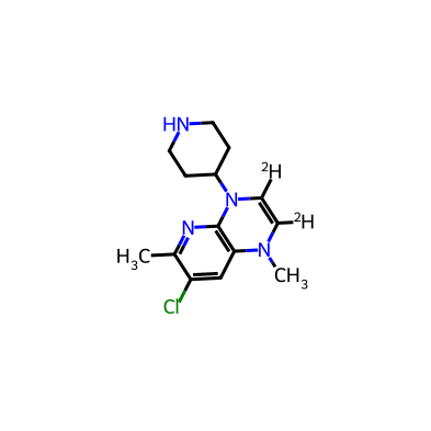 [2H]C1=C([2H])N(C2CCNCC2)c2nc(C)c(Cl)cc2N1C